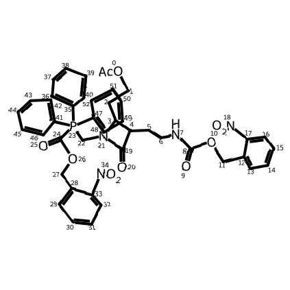 CC(=O)OCCC1C(CCNC(=O)OCc2ccccc2[N+](=O)[O-])C(=O)N1CP(C(=O)OCc1ccccc1[N+](=O)[O-])(c1ccccc1)(c1ccccc1)c1ccccc1